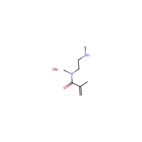 Br.C=C(C)C(=O)N(C)CCNC